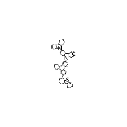 C1=C(c2ccc3c4ccc(-n5c6ccccc6c6cc(-n7c8ccccc8c8ccccc87)ccc65)cc4c4ccccc4c3c2)c2sc3ccccc3c2CC1